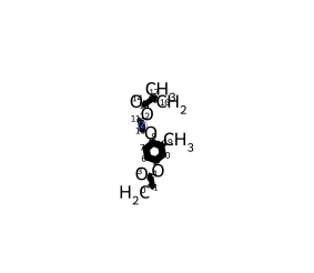 C=CC(=O)Oc1ccc(O/C=C\OC(=O)C(=C)C)c(C)c1